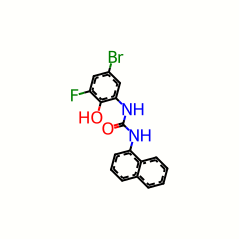 O=C(Nc1cc(Br)cc(F)c1O)Nc1cccc2ccccc12